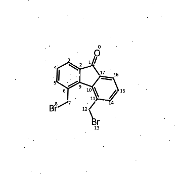 O=C1c2cccc(CBr)c2-c2c(CBr)cccc21